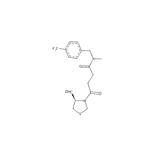 CN(Cc1ccc(C(F)(F)F)cc1)C(=O)CCC(=O)N1CSC[C@H]1C=O